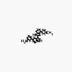 CN1CCN(c2nccc3[nH]c(-c4n[nH]c5ncc(-c6cncc(N)c6)cc45)cc23)CC1